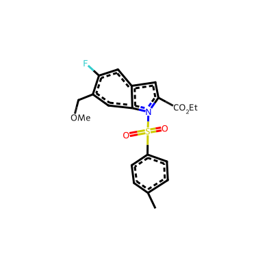 CCOC(=O)c1cc2cc(F)c(COC)cc2n1S(=O)(=O)c1ccc(C)cc1